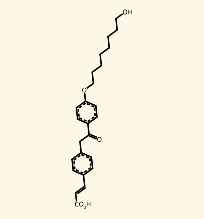 O=C(O)C=Cc1ccc(CC(=O)c2ccc(OCCCCCCCCO)cc2)cc1